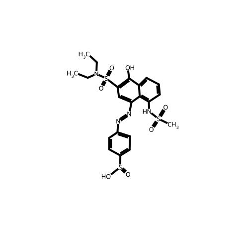 CCN(CC)S(=O)(=O)c1cc(N=Nc2ccc(S(=O)O)cc2)c2c(NS(C)(=O)=O)cccc2c1O